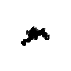 CCC(=O)OCCOc1ccc(-c2c(C#N)c(SCc3csc(-c4ccc(Cl)cc4)n3)nc3nc(CC)[nH]c(=O)c23)cc1